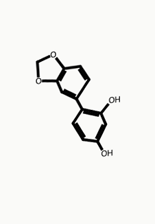 Oc1ccc(-c2ccc3c(c2)OCO3)c(O)c1